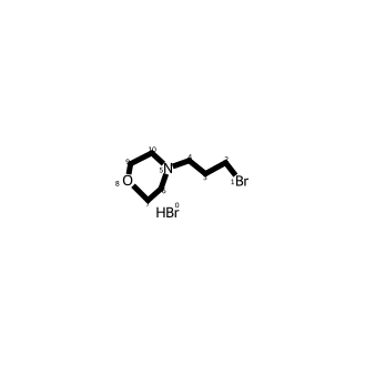 Br.BrCCCN1CCOCC1